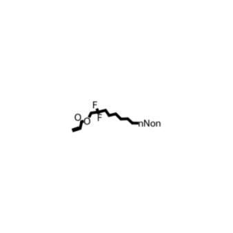 C=CC(=O)OCC(F)(F)CCCCCCCCCCCCCCC